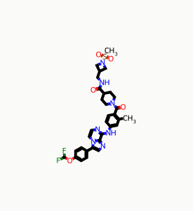 Cc1cc(Nc2nccn3c(-c4ccc(OC(F)F)cc4)cnc23)ccc1C(=O)N1CCC(C(=O)NCC2CN(S(C)(=O)=O)C2)CC1